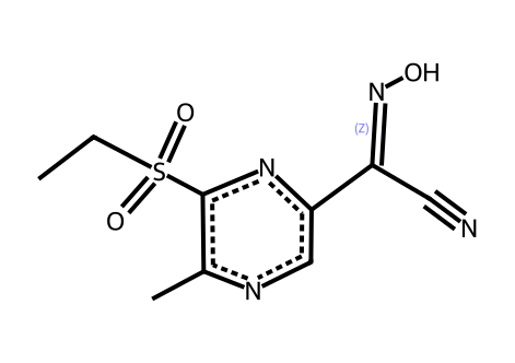 CCS(=O)(=O)c1nc(/C(C#N)=N/O)cnc1C